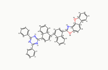 c1ccc(-c2nc(-c3ccccc3)nc(-c3ccc(-c4ccc(-c5nc6c(ccc7c8ccccc8oc76)o5)c5ccccc45)c4ccccc34)n2)cc1